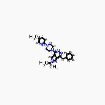 Cc1ccc(N2CCN(c3nnc(Cc4ccccc4)c4cn(C(C)C)cc34)CC2)nc1